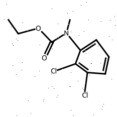 CCOC(=O)N(C)c1cccc(Cl)c1Cl